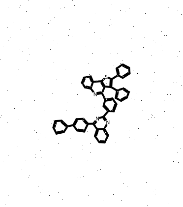 c1ccc(-c2ccc(-c3nc(-c4cccc(-c5nc6ccccc6c6sc(-c7ccccc7)c(-c7ccccc7)c56)c4)nc4ccccc34)cc2)cc1